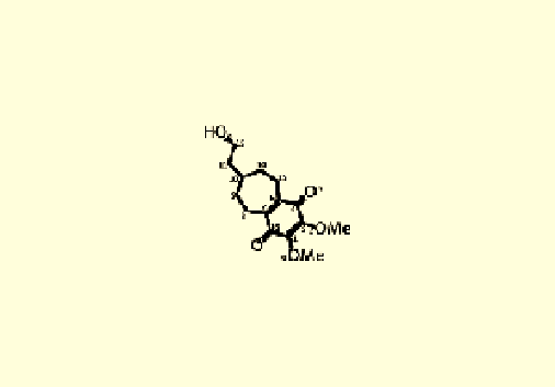 COC1=C(OC)C(=O)C2=C(CCC(CCO)CC2)C1=O